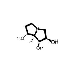 O[C@H]1[C@H]2[C@H](O)CCN2C[C@H]1O